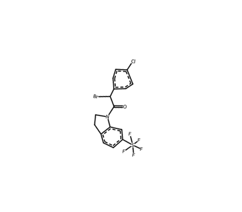 O=C(C(Br)c1ccc(Cl)cc1)N1CCc2ccc(S(F)(F)(F)(F)F)cc21